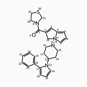 O=C(C1=CC2=CC=C[N@@+]2(N2CCC(n3cccc3-c3ccccc3)CC2)C1)N1CCSC1